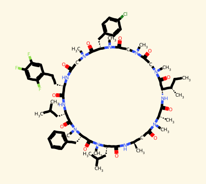 CC[C@H](C)[C@@H]1NC(=O)[C@H](C)N(C)C(=O)C[C@@H](C)NC(=O)[C@H](CC(C)C)N(C)C(=O)[C@H](Cc2ccccc2)N(C)C(=O)[C@H](CC(C)C)NC(=O)[C@H](CCc2cc(F)c(F)cc2F)NC(=O)CN(C)C(=O)[C@H](Cc2ccc(Cl)cc2)N(C)C(=O)CN(C)C(=O)CN(C)C1=O